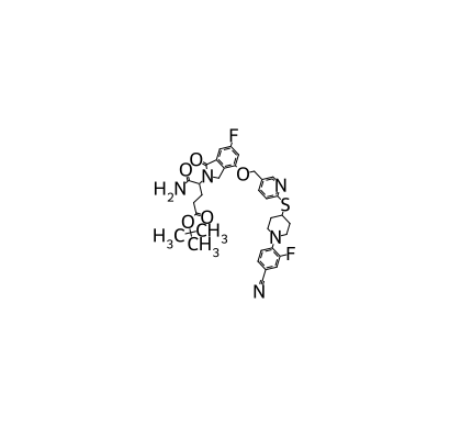 CC(C)(C)OC(=O)CCC(C(N)=O)N1Cc2c(OCc3ccc(SC4CCN(c5ccc(C#N)cc5F)CC4)nc3)cc(F)cc2C1=O